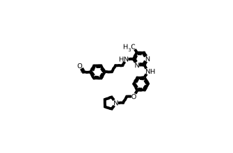 Cc1cnc(Nc2ccc(OCCN3CCCC3)cc2)nc1NCCCc1ccc([C]=O)cc1